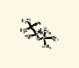 CC(C)C(C)(C)[Si](C)(C)O[Si](C)(C)C